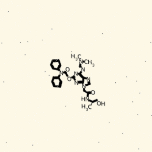 C[C@@H](CO)NC(=O)Cn1cnc2c(/N=C/N(C)C)nc(OC(=O)N(c3ccccc3)c3ccccc3)nc21